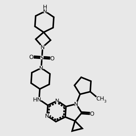 CC1CCCC1N1C(=O)C2(CC2)c2cnc(NC3CCN(S(=O)(=O)N4CC5(CCNCC5)C4)CC3)nc21